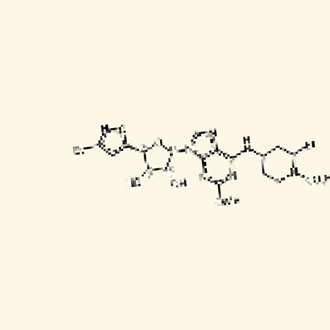 CCc1cc([C@H]2O[C@@H](n3cnc4c(NC5CCN(C(=O)O)C(CC)C5)nc(OC)nc43)[C@H](O)[C@@H]2O)on1